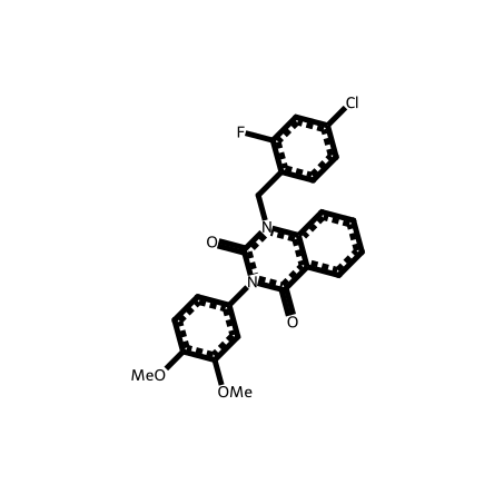 COc1ccc(-n2c(=O)c3ccccc3n(Cc3ccc(Cl)cc3F)c2=O)cc1OC